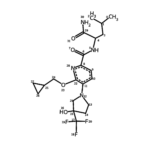 CC(C)CC(NC(=O)c1ccc(N2CCC(O)(C(F)(F)F)C2)c(OCC2CC2)n1)C(N)=O